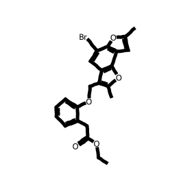 CCOC(=O)Cc1ccccc1OCc1c(C)oc2c1cc(Br)c1oc(C)cc12